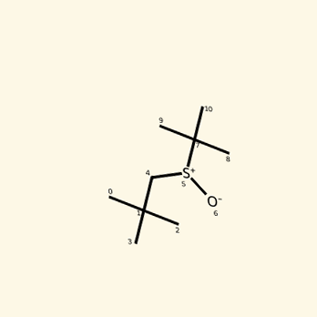 CC(C)(C)C[S+]([O-])C(C)(C)C